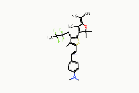 Cc1c(/C=C/c2ccc(N(C)C)cc2)sc(C2=C(C#N)C(=C(C#N)C#N)OC2(C)C)c1CC(F)(F)C(F)(F)C(F)(F)F